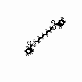 O=C(OCCCCCCCCCOC(=O)C1CC2C=CC1C2)C1CC2C=CC1C2